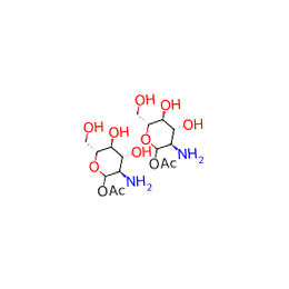 CC(=O)OC1O[C@H](CO)[C@@H](O)[C@H](O)[C@H]1N.CC(=O)OC1O[C@H](CO)[C@@H](O)[C@H](O)[C@H]1N